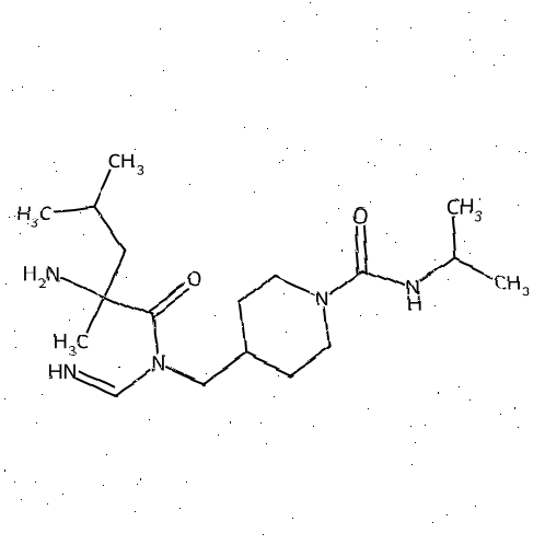 CC(C)CC(C)(N)C(=O)N(C=N)CC1CCN(C(=O)NC(C)C)CC1